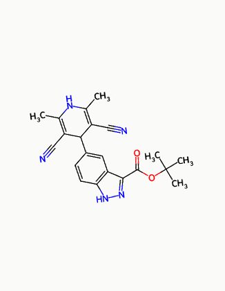 CC1=C(C#N)C(c2ccc3[nH]nc(C(=O)OC(C)(C)C)c3c2)C(C#N)=C(C)N1